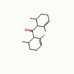 CC1=CCCC(C)C1C(=O)C1C(C)=CCCC1C